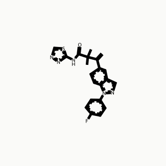 C=C(c1ccc2c(cnn2-c2ccc(F)cc2)c1)C(C)(C)C(=O)Nc1nncs1